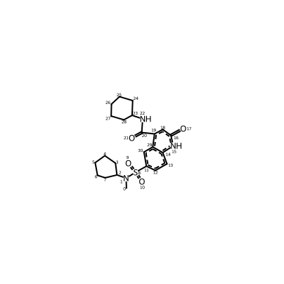 CN(C1CCCCC1)S(=O)(=O)c1ccc2[nH]c(=O)cc(C(=O)NC3CCCCC3)c2c1